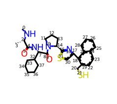 CN[C@@H](C)C(=O)N[C@H](C(=O)N1CCC[C@H]1c1nc(-c2c(CS)ccc3ccccc23)cs1)C1CCCCC1